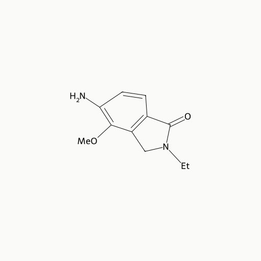 CCN1Cc2c(ccc(N)c2OC)C1=O